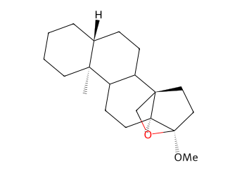 CO[C@]12CC[C@@]3(CO1)C1CC[C@H]4CCCC[C@]4(C)C1CC[C@]23C